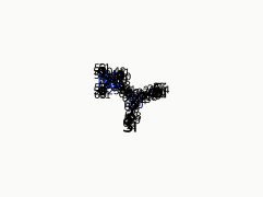 C[Si](C)(C)c1ccc(-c2ccc(N(c3ccc(-c4ccc([Si](C)(C)C)cc4)cc3)c3ccc(-c4ccc5c(c4)c4ccccc4n5-c4nc(-c5ccccc5)nc(-c5ccccc5)n4)cc3)cc2)cc1